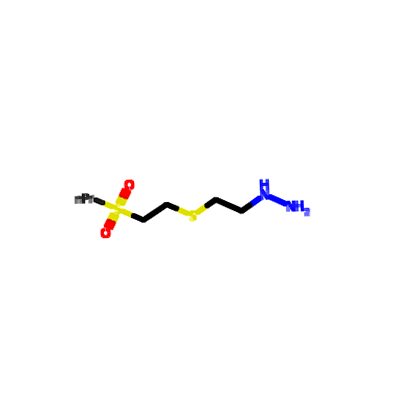 CCCS(=O)(=O)CCSCCNN